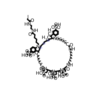 CC12CCCCCC(=O)NC(CS(=O)(=O)O)C(=O)NC(CS(=O)(=O)O)C(=O)NC(CS(=O)(=O)O)C(=O)NCCCCCNC(=O)CCCCCN3c4ccc(S(=O)(=O)O)cc4C(C)(C)C3/C=C/C=C/C=C/1N(CCCCCC(=O)NCCNC(=O)CI)c1ccc(S(=O)(=O)O)cc12